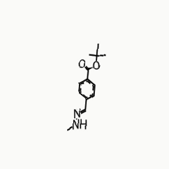 CN/N=C/c1ccc(C(=O)OC(C)(C)C)cc1